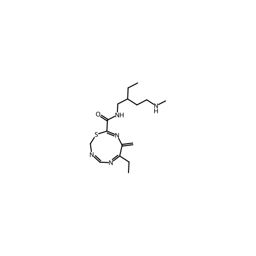 C=C1/N=C(/C(=O)NCC(CC)CCNC)SC/N=C\N=C/1CC